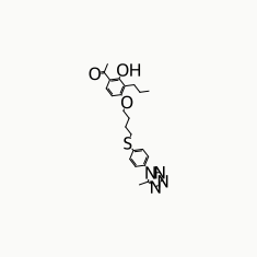 CCCc1c(OCCCCSc2ccc(-n3nnnc3C)cc2)ccc(C(C)=O)c1O